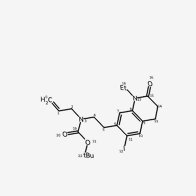 C=CCN(CCc1cc2c(cc1I)CCC(=O)N2CC)C(=O)OC(C)(C)C